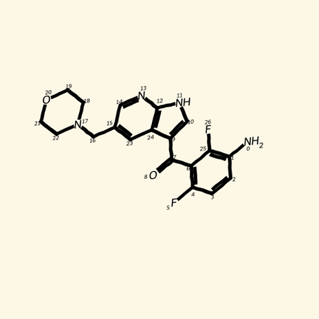 Nc1ccc(F)c(C(=O)c2c[nH]c3ncc(CN4CCOCC4)cc23)c1F